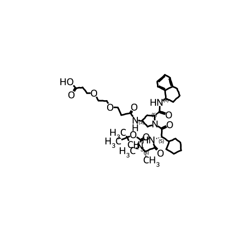 C[C@@H](C(=O)N[C@H](C(=O)N1C[C@@H](NC(=O)CCOCCOCCC(=O)O)C[C@H]1C(=O)N[C@@H]1CCCc2ccccc21)C1CCCCC1)N(C)C(=O)OC(C)(C)C